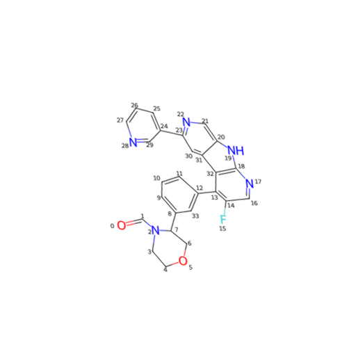 O=CN1CCOCC1c1cccc(-c2c(F)cnc3[nH]c4cnc(-c5cccnc5)cc4c23)c1